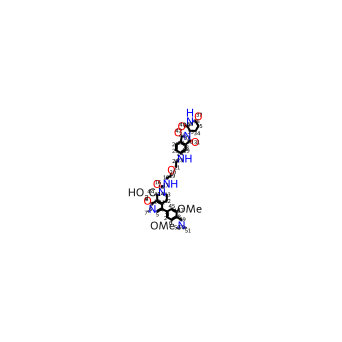 COc1cc(-c2cn(C)c(=O)c3c2CCN(C(=O)NCCOCCNc2ccc4c(c2)C(=O)N(C2CCC(=O)NC2=O)C4=O)C3C(=O)O)cc(OC)c1CN(C)C